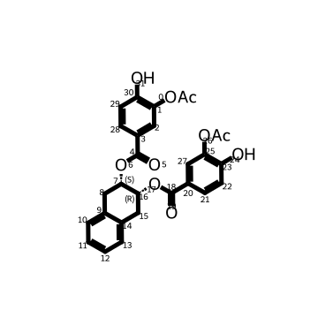 CC(=O)Oc1cc(C(=O)O[C@H]2Cc3ccccc3C[C@H]2OC(=O)c2ccc(O)c(OC(C)=O)c2)ccc1O